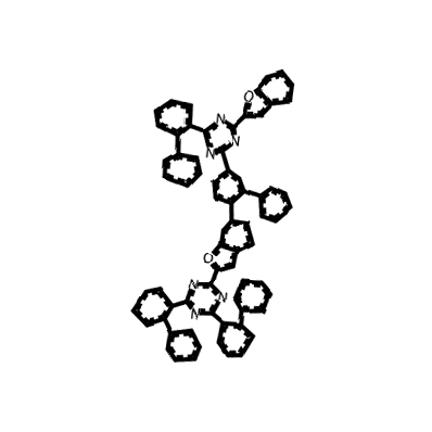 c1ccc(-c2cc(-c3nc(-c4cc5ccccc5o4)nc(-c4ccccc4-c4ccccc4)n3)ccc2-c2ccc3cc(-c4nc(-c5ccccc5-c5ccccc5)nc(-c5ccccc5-c5ccccc5)n4)oc3c2)cc1